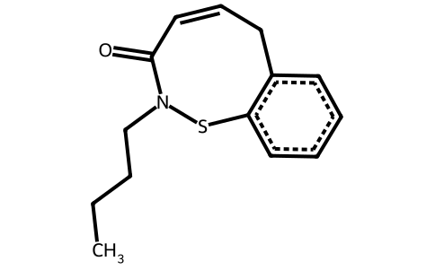 CCCCN1Sc2ccccc2C/C=C\C1=O